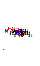 COc1cccc2c1[PH](O)(C(C)(C)C)[C@H](C(C)(C)C(=O)N[C@@H](CO)C(C)C)O2